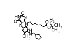 Cc1cc2nc3c(=O)[nH]c(=O)nc-3n(CCCCCCC(=O)OC(C)(C)C)c2cc1NCC1CCCC1